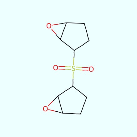 O=S(=O)(C1CCC2OC21)C1CCC2OC21